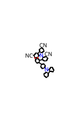 N#Cc1ccc2c(c1)c1cc(C#N)ccc1n2-c1c(C#N)cccc1-c1ccccc1-c1ccc(-n2c3ccccc3c3ccccc32)cc1